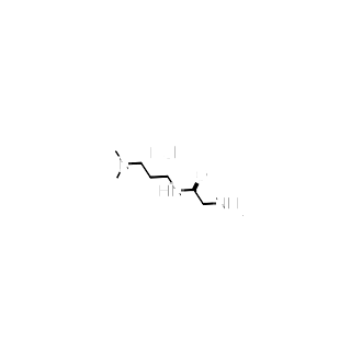 CN(C)CCCNC(=O)CN.Cl